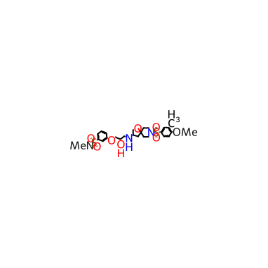 CNS(=O)(=O)c1cccc(OCC(O)CNC2COC3(CCN(S(=O)(=O)c4ccc(OC)c(C)c4)CC3)C2)c1